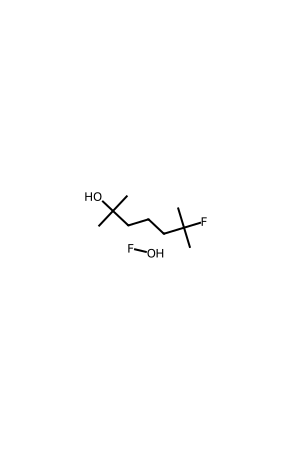 CC(C)(O)CCCC(C)(C)F.OF